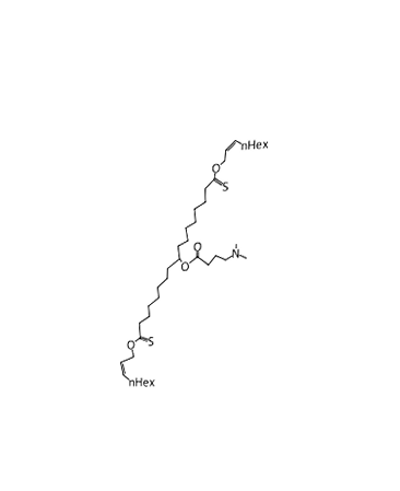 CCCCCC/C=C\COC(=S)CCCCCCCC(CCCCCCCC(=S)OC/C=C\CCCCCC)OC(=O)CCCN(C)C